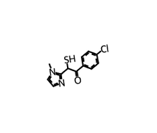 Cn1ccnc1C(S)C(=O)c1ccc(Cl)cc1